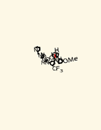 COc1cccc([C@@]23CO[C@@H](C2)[C@@H]3C(=O)Nc2cc(NC(=O)[N-]c3c[n+](Cc4ccccn4)no3)cc(C(F)(F)F)c2)c1